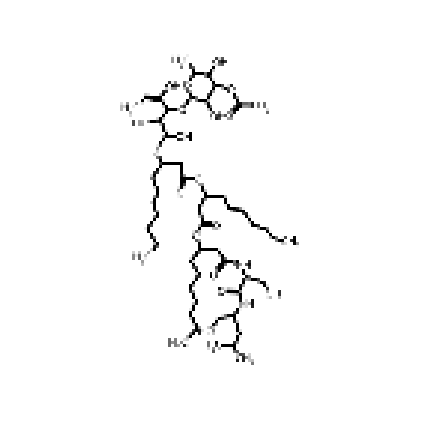 C/C=C(/O)C(OC1OC(C)C(O)C(OC(C)=O)C1O)C(O)C(O)OC(CCCCCCC)CC(=O)OC(CCCCCCC)CC(=O)OC(CCCCCCC)CC(=O)NC(CO)C(=O)NC(CO)CC(C)C